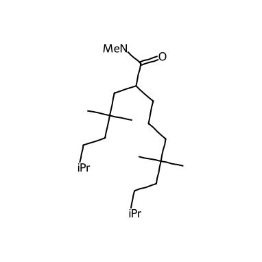 CNC(=O)C(CCCC(C)(C)CCC(C)C)CC(C)(C)CCC(C)C